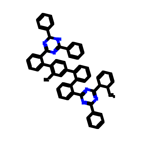 CC1C=CC=CC1c1nc(-c2ccccc2)nc(-c2ccccc2-c2ccccc2-c2ccc(-c3ccccc3C3=NC(c4ccccc4)NC(c4ccccc4)=N3)c(C#N)c2)n1